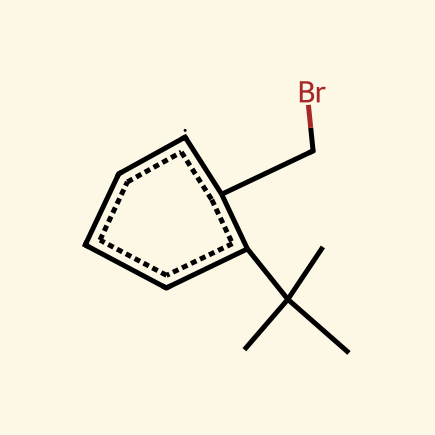 CC(C)(C)c1ccc[c]c1CBr